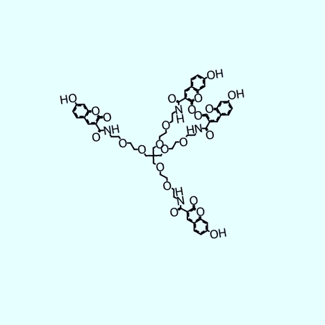 O=C(NCCOCCOCC(COCCOCCNC(=O)c1cc2ccc(O)cc2oc1=O)(COCCOCCNC(=O)c1cc2ccc(O)cc2oc1=O)COCCOCCNC(=O)c1cc2ccc(O)cc2oc1=O)c1cc2ccc(O)cc2oc1=O